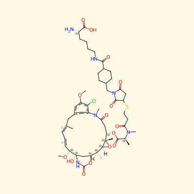 COc1cc2cc(c1Cl)N(C)C(=O)C[C@H](OC(=O)[C@H](C)N(C)C(=O)CCSC1CC(=O)N(CC3CCC(C(=O)NCCCC[C@H](N)C(=O)O)CC3)C1=O)[C@]1(C)O[C@H]1[C@H](C)[C@@H]1C[C@@](O)(NC(=O)O1)[C@H](OC)/C=C/C=C(\C)C2